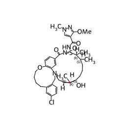 COc1nn(C)cc1C(=O)NS1(=O)=NC(=O)c2ccc3c(c2)N(Cc2ccc(Cl)cc2CCCCO3)C[C@@H]2C[C@@](O)(CCC[C@H](C)[C@H]1C)[C@@H]2C